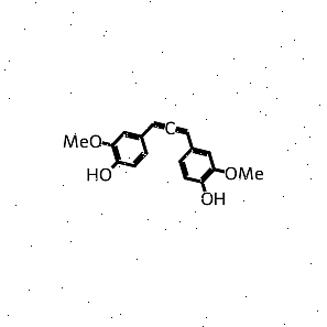 COc1cc(C=C=Cc2ccc(O)c(OC)c2)ccc1O